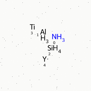 N.[AlH3].[SiH4].[Ti].[Y]